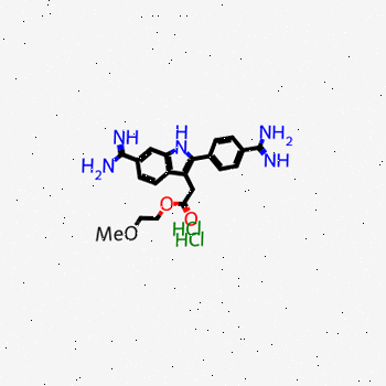 COCCOC(=O)Cc1c(-c2ccc(C(=N)N)cc2)[nH]c2cc(C(=N)N)ccc12.Cl.Cl